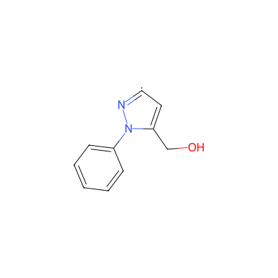 OCc1c[c]nn1-c1ccccc1